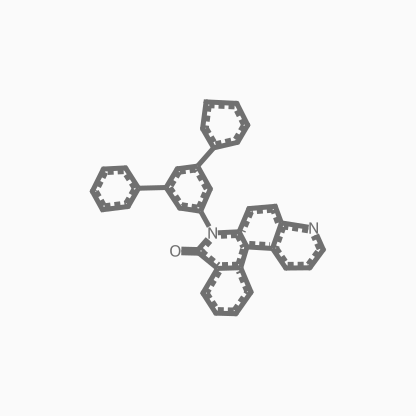 O=c1c2ccccc2c2c3cccnc3ccc2n1-c1cc(-c2ccccc2)cc(-c2ccccc2)c1